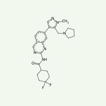 Cn1ncc(-c2ccc3cnc(NC(=O)C4CCC(F)(F)CC4)nc3c2)c1CN1CCCC1